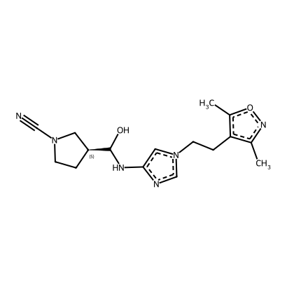 Cc1noc(C)c1CCn1cnc(NC(O)[C@H]2CCN(C#N)C2)c1